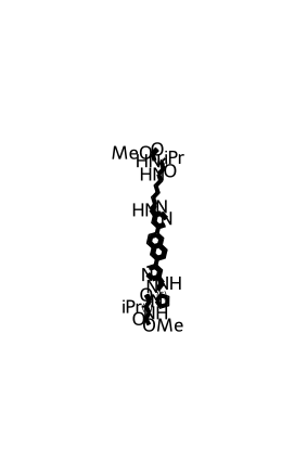 COC(=O)N[C@H](C(=O)NCCCCc1nc2ncc(-c3ccc4cc(-c5cnc6nc([C@@H]7CCCN7C(=O)[C@@H](NC(=O)OC)C(C)C)[nH]c6c5)ccc4c3)cc2[nH]1)C(C)C